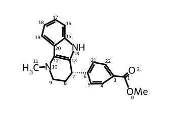 COC(=O)c1ccc([C@@H]2CCN(C)c3c2[nH]c2ccccc32)cc1